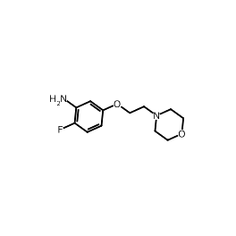 Nc1cc(OCCN2CCOCC2)ccc1F